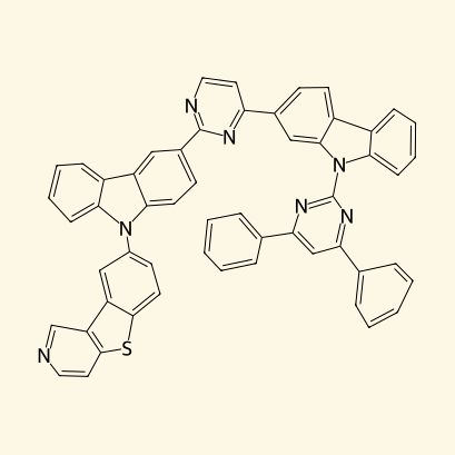 c1ccc(-c2cc(-c3ccccc3)nc(-n3c4ccccc4c4ccc(-c5ccnc(-c6ccc7c(c6)c6ccccc6n7-c6ccc7sc8ccncc8c7c6)n5)cc43)n2)cc1